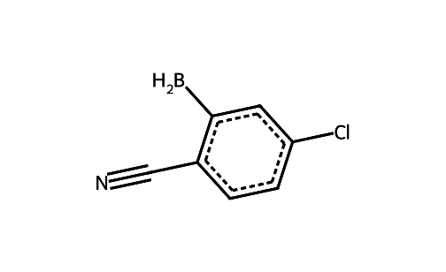 Bc1cc(Cl)ccc1C#N